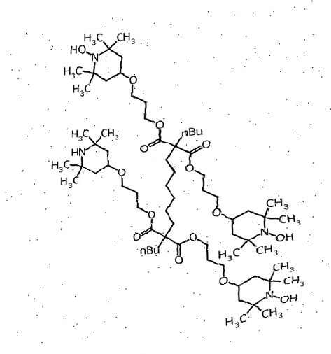 CCCCC(CCCCCCC(CCCC)(C(=O)OCCCOC1CC(C)(C)N(O)C(C)(C)C1)C(=O)OCCCOC1CC(C)(C)N(O)C(C)(C)C1)(C(=O)OCCCOC1CC(C)(C)NC(C)(C)C1)C(=O)OCCCOC1CC(C)(C)N(O)C(C)(C)C1